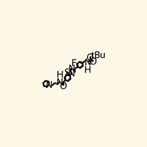 CC(C)(C)OC(=O)NCc1ccc(-c2cn3c(n2)sc2cc(C(=O)NCCCN4CCCCC4)ccc23)c(F)c1